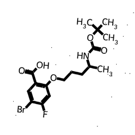 CC(CCCOc1cc(F)c(Br)cc1C(=O)O)NC(=O)OC(C)(C)C